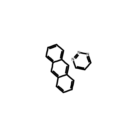 c1ccc2cc3ccccc3cc2c1.c1cnnnc1